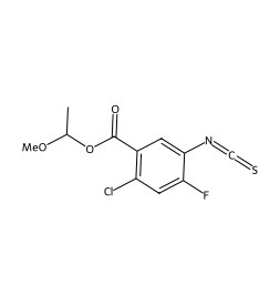 COC(C)OC(=O)c1cc(N=C=S)c(F)cc1Cl